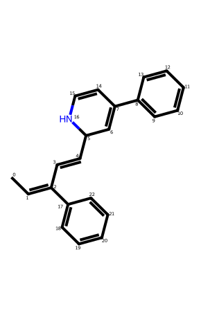 C/C=C(\C=C\C1C=C(c2ccccc2)C=CN1)c1ccccc1